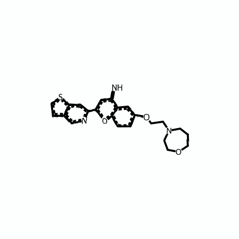 N=c1cc(-c2cc3sccc3cn2)oc2ccc(OCCN3CCCOCC3)cc12